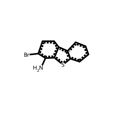 Nc1c(Br)ccc2c1sc1ccccc12